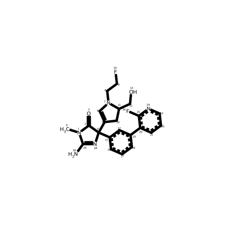 CN1C(=O)C(C2=CN(CCF)C(CO)C2)(c2cccc(-c3cccnc3F)c2)N=C1N